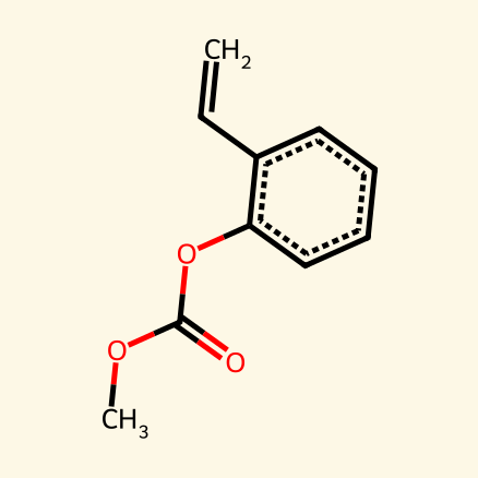 C=Cc1ccccc1OC(=O)OC